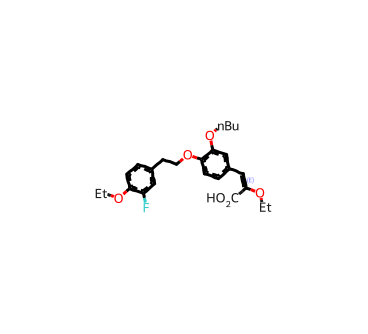 CCCCOc1cc(/C=C(/OCC)C(=O)O)ccc1OCCc1ccc(OCC)c(F)c1